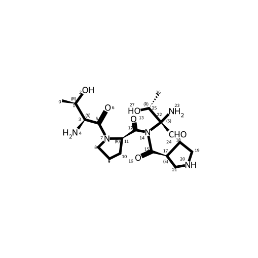 C[C@@H](O)[C@H](N)C(=O)N1CCC[C@@H]1C(=O)N(C(=O)[C@H]1CCNC1)[C@](N)(C=O)[C@@H](C)O